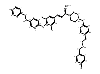 Cc1cc(/C=C/C(=O)N2CCN(Cc3ccc(CCOCc4ccc(F)cc4)cc3)CC2)cc(C)c1Oc1ccc(OCc2ccncc2)cn1.Cl